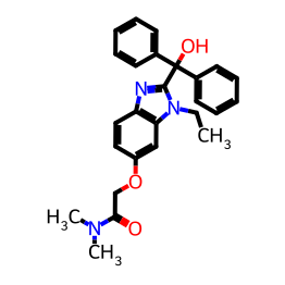 CCn1c(C(O)(c2ccccc2)c2ccccc2)nc2ccc(OCC(=O)N(C)C)cc21